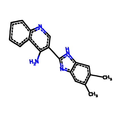 Cc1cc2nc(-c3cnc4ccccc4c3N)[nH]c2cc1C